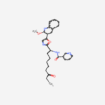 CCC(=O)CCCCCC(NC(=O)c1cccnc1)c1ncc(-c2cc3ccccc3nc2OC)o1